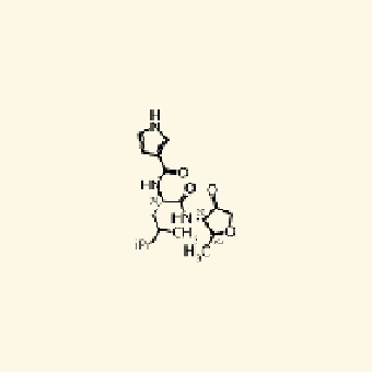 CC(C)C(C)C[C@H](NC(=O)c1cc[nH]c1)C(=O)N[C@@H]1C(=O)CO[C@H]1C